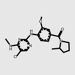 CNc1nc(Nc2ccc(C(=O)N3CCCC3C)cc2OC)ncc1Cl